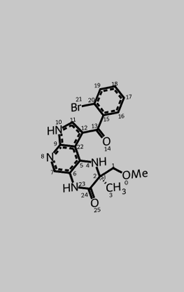 COC[C@]1(C)Nc2c(cnc3[nH]cc(C(=O)c4ccccc4Br)c23)NC1=O